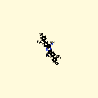 N#C/N=c1\c2cc(-c3ccc(C#N)cc3C(F)(F)F)ccc2c2nc3/c(=N/C#N)c4cc(-c5ccc(C#N)cc5C(F)(F)F)ccc4c3nc12